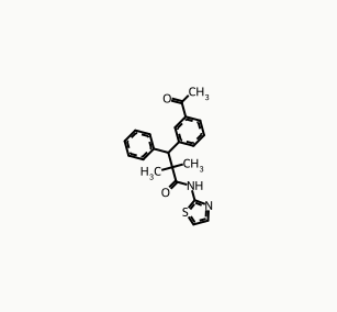 CC(=O)c1cccc(C(c2ccccc2)C(C)(C)C(=O)Nc2nccs2)c1